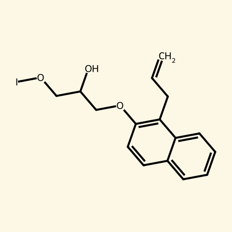 C=CCc1c(OCC(O)COI)ccc2ccccc12